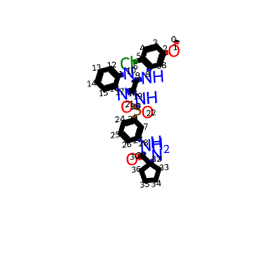 COc1ccc(Cl)c(Nc2nc3ccccc3nc2NS(=O)(=O)c2cccc(NC(=O)C3(N)CCCC3)c2)c1